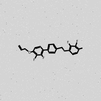 C=CCOc1ccc(-c2ccc(CCc3ccc(C)c(F)c3F)cc2)c(F)c1F